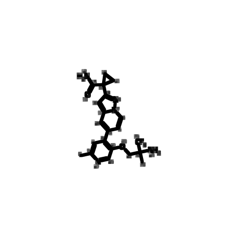 Cc1cc(-c2ccn3nc(C4(C(N)=O)CC4)cc3c2)c(OCC(C)(N)C(F)(F)F)cn1